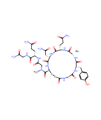 CC[C@H](C)[C@@H]1NC(=O)[C@H](Cc2ccc(O)cc2)NC(=O)CNC(=O)CC[C@@H](C(=O)N(C)CC(=O)N[C@@H](CCC(N)=O)C(=O)NCC(N)=O)NC(=O)[C@H](CC(N)=O)NC(=O)[C@H](CCC(N)=O)NC1=O